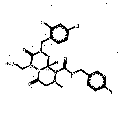 CN1CC(=O)N2[C@@H](CC(=O)O)C(=O)N(Cc3ccc(Cl)cc3Cl)C[C@@H]2N1C(=O)NCc1ccc(F)cc1